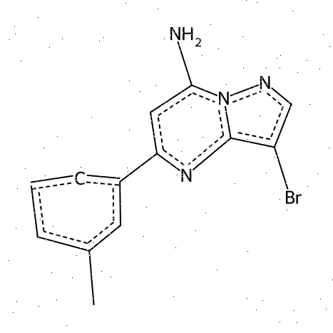 Cc1cccc(-c2cc(N)n3ncc(Br)c3n2)c1